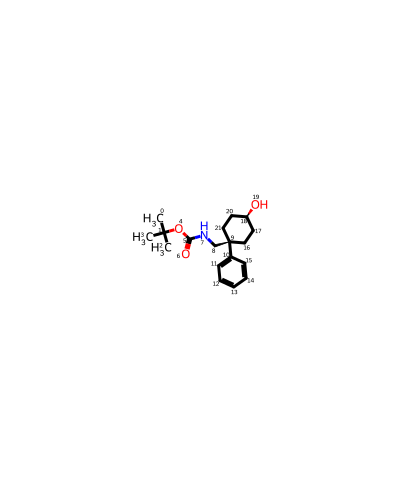 CC(C)(C)OC(=O)NC[C@]1(c2ccccc2)CC[C@H](O)CC1